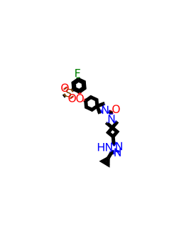 CS(=O)(=O)c1cc(F)ccc1OC1CCC2(CC1)CN(C(=O)N1CC3(CC(c4nnc(C5CC5)[nH]4)C3)C1)C2